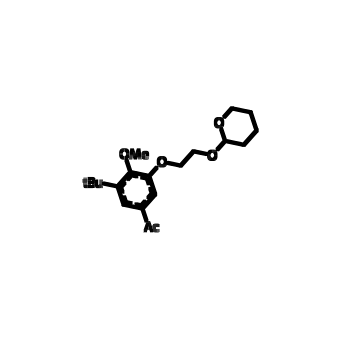 COc1c(OCCOC2CCCCO2)cc(C(C)=O)cc1C(C)(C)C